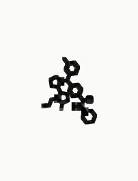 C=CCN1C(C)CCC1C1CCCN1C(c1ccc(C(=O)NN2CCCCC2)cc1)c1cccc(C)c1